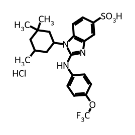 CC1CC(n2c(Nc3ccc(OC(F)(F)F)cc3)nc3cc(S(=O)(=O)O)ccc32)CC(C)(C)C1.Cl